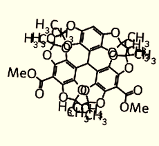 COC(=O)c1c2c(c(C(c3c4c(cc5c3OC(C)(C)O5)OC(C)(C)O4)c3c4c(c(C(=O)OC)c5c3OC(C)(C)O5)OC(C)(C)O4)c3c1OC(C)(C)O3)OC(C)(C)O2